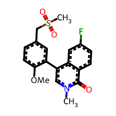 COc1ccc(CS(C)(=O)=O)cc1-c1cn(C)c(=O)c2ccc(F)cc12